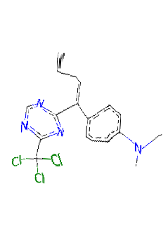 C=CC=C(c1ccc(N(C)C)cc1)c1ncnc(C(Cl)(Cl)Cl)n1